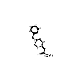 COC(=O)C=C1CCN(Cc2ccccc2)CC1